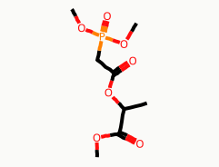 COC(=O)C(C)OC(=O)CP(=O)(OC)OC